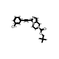 CC(C)(C)COC(=O)N1CCn2c(cnc2C#Cc2cccc(Cl)c2)C1